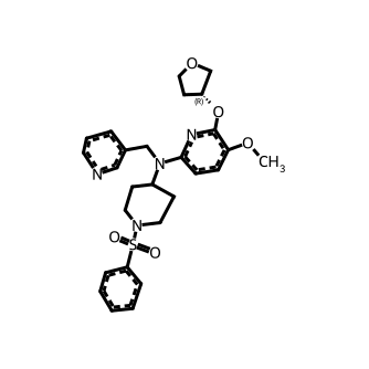 COc1ccc(N(Cc2cccnc2)C2CCN(S(=O)(=O)c3ccccc3)CC2)nc1O[C@@H]1CCOC1